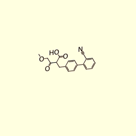 COCC(=O)C(Cc1ccc(-c2ccccc2C#N)cc1)C(=O)O